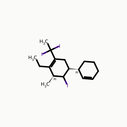 CCC1=C(C(C)(I)I)CC([C@H]2C=CCCC2)C(I)[C@@H]1C